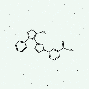 COC(=O)c1cccc(-n2cnc(-c3c(-c4ccccc4)noc3C)c2)c1